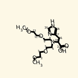 COCCOCCN(CCOCCOC)C(Cc1c[nH]cn1)C(=O)O